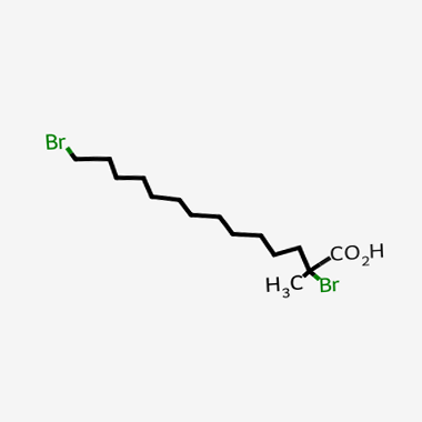 CC(Br)(CCCCCCCCCCCCBr)C(=O)O